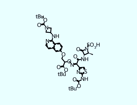 C[C@H]1[C@H](NC(=O)/C(=N\OC(COc2ccc3c(NC4CN(C(=O)OC(C)(C)C)C4)nccc3c2)C(=O)OC(C)(C)C)c2csc(NC(=O)OC(C)(C)C)n2)C(=O)N1S(=O)(=O)O